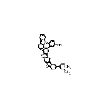 C=C/C=C(\C=C/C)c1ccc2sc3cc4sc5ccc(-c6cc(C#N)ccc6-n6c7ccccc7c7ccccc76)cc5c4cc3c2c1